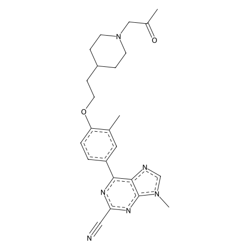 CC(=O)CN1CCC(CCOc2ccc(-c3nc(C#N)nc4c3ncn4C)cc2C)CC1